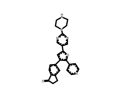 O=C1CCc2cc(-c3cc(-c4cnc(N5CCNCC5)nc4)oc3-c3ccncc3)ccc21